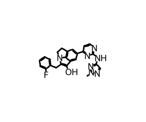 Cn1ncc(Nc2nccc(-c3cc4c5c(c3)c(O)c(Cc3ccccc3F)n5CC4)n2)n1